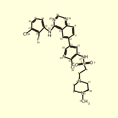 CN1CCN(CCS(=O)(=O)Nc2cc(-c3ccc4ncnc(Nc5cccc(Cl)c5F)c4c3)cnc2Cl)CC1